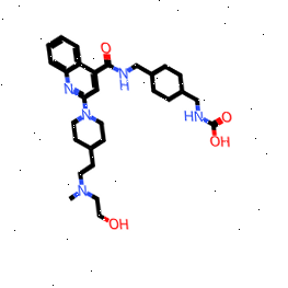 CN(CCO)CCC1CCN(c2cc(C(=O)NCC3CCC(CNC(=O)O)CC3)c3ccccc3n2)CC1